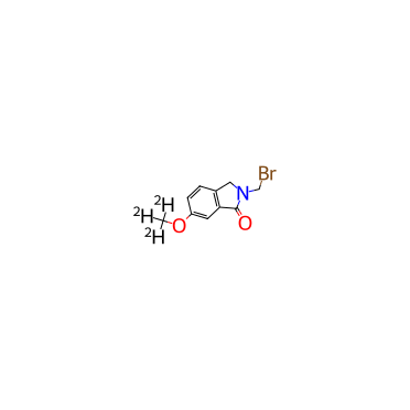 [2H]C([2H])([2H])Oc1ccc2c(c1)C(=O)N(CBr)C2